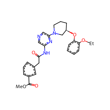 CCOc1ccccc1O[C@@H]1CCCN(c2cncc(NC(=O)Cc3cccc(C(=O)OC)c3)n2)C1